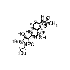 CCC(C)CCN1C(=O)C(C2=NP(=O)(O)c3cc(NS(C)(=O)=O)ccc3N2)=C(O)C1C(C)(C)C